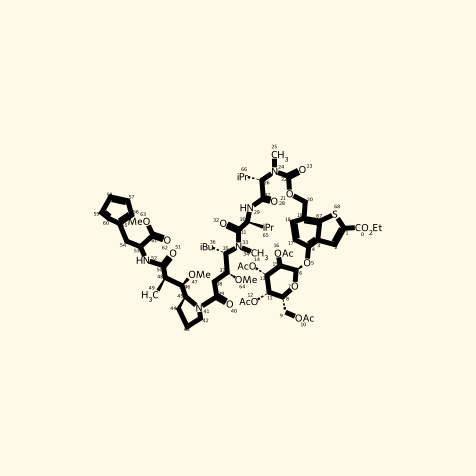 CCOC(=O)c1cc2c(O[C@@H]3O[C@H](COC(C)=O)[C@H](OC(C)=O)[C@H](OC(C)=O)C3OC(C)=O)ccc(COC(=O)N(C)[C@H](C(=O)N[C@H](C(=O)N(C)[C@@H](C(C)CC)[C@@H](CC(=O)N3CCC[C@H]3[C@H](OC)[C@@H](C)C(=O)NC(Cc3ccccc3)C(=O)OC)OC)C(C)C)C(C)C)c2s1